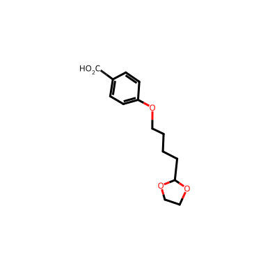 O=C(O)c1ccc(OCCCCC2OCCO2)cc1